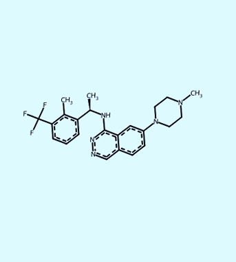 Cc1c([C@@H](C)Nc2nncc3ccc(N4CCN(C)CC4)cc23)cccc1C(F)(F)F